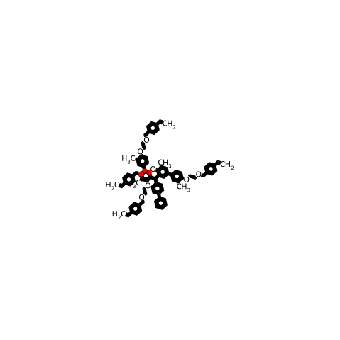 C=Cc1ccc(COCCOc2ccc(-c3cc(C)c(OCCOCc4ccc(C=C)cc4)c(C(c4ccc(-c5ccccc5)cc4)c4cc(-c5ccc(OCCOCc6ccc(C=C)cc6)c(C)c5)cc(C)c4OCCOCc4ccc(C=C)cc4)c3)cc2C)cc1